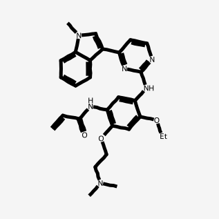 C=CC(=O)Nc1cc(Nc2nccc(-c3cn(C)c4ccccc34)n2)c(OCC)cc1OCCN(C)C